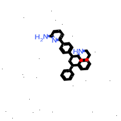 Nc1cccc(-c2ccc(C(CC(c3ccccc3)c3ccccc3)C3CCCCN3)cc2)n1